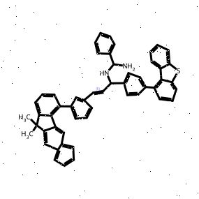 CC1(C)c2cc3ccccc3cc2-c2c(-c3cccc(/C=C/C(NC(N)c4ccccc4)c4ccc(-c5cccc6sc7ccccc7c56)cc4)c3)cccc21